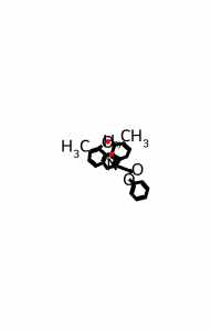 CC1=CCC2C3Cc4ccc(C)c5c4[C@]2(CCN3C(=O)Oc2ccccc2)[C@@H]1O5